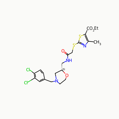 CCOC(=O)c1sc(SCC(=O)NC[C@H]2CN(Cc3ccc(Cl)c(Cl)c3)CCO2)nc1C